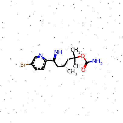 C[C@H](CC(=N)c1ccc(Br)cn1)CC(C)(C)OC(N)=O